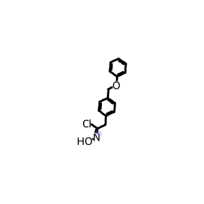 O/N=C(\Cl)Cc1ccc(COc2ccccc2)cc1